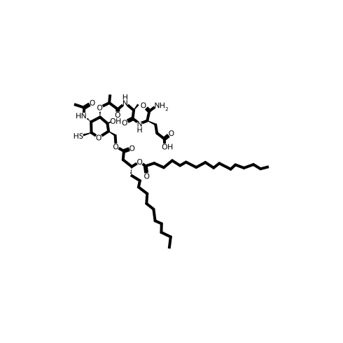 CCCCCCCCCCCCCCCC(=O)O[C@H](CCCCCCCCCCC)CC(=O)OC[C@H]1O[C@@H](S)[C@H](NC(C)=O)[C@H](OC(C)C(=O)N[C@@H](C)C(=O)N[C@H](CCC(=O)O)C(N)=O)[C@@H]1O